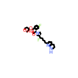 O=C(O)[C@@H](c1cc(F)ccc1COC1CCOCC1)N1CC[C@@H]([C@H](F)CCCCc2ccc3c(n2)NCCC3)C1